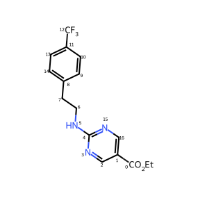 CCOC(=O)c1cnc(NCCc2ccc(C(F)(F)F)cc2)nc1